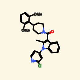 COc1cccc(OC)c1C1CCN(C(=O)c2c(C)n(-c3ccnc(Cl)c3)c3ccccc23)CC1